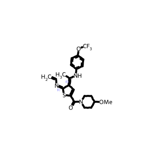 C=C/N=C1/SC(C(=O)N2CCC(OC)CC2)=C/C1=C(/C)Nc1ccc(OC(F)(F)F)cc1